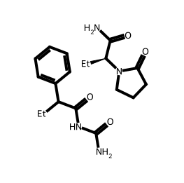 CCC(C(=O)NC(N)=O)c1ccccc1.CC[C@@H](C(N)=O)N1CCCC1=O